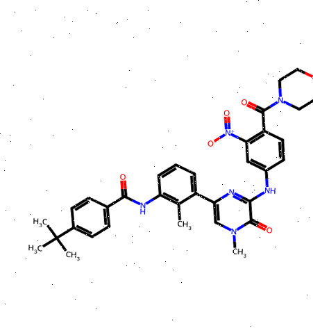 Cc1c(NC(=O)c2ccc(C(C)(C)C)cc2)cccc1-c1cn(C)c(=O)c(Nc2ccc(C(=O)N3CCOCC3)c([N+](=O)[O-])c2)n1